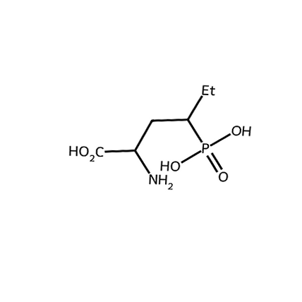 CCC(CC(N)C(=O)O)P(=O)(O)O